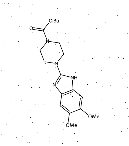 COc1cc2nc(N3CCN(C(=O)OCC(C)C)CC3)[nH]c2cc1OC